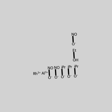 CC(C)[O-].CC(C)[O-].CC(C)[O-].CCO.O=N[O-].O=N[O-].O=N[O-].[Al+3].[Rh+3]